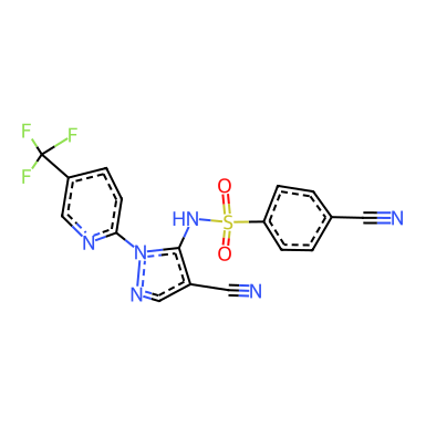 N#Cc1ccc(S(=O)(=O)Nc2c(C#N)cnn2-c2ccc(C(F)(F)F)cn2)cc1